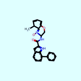 CC1C=CC=C2OCC(NC(=O)c3cc4cccc(-c5ccccc5)c4[nH]3)[N+]([O-])=C21